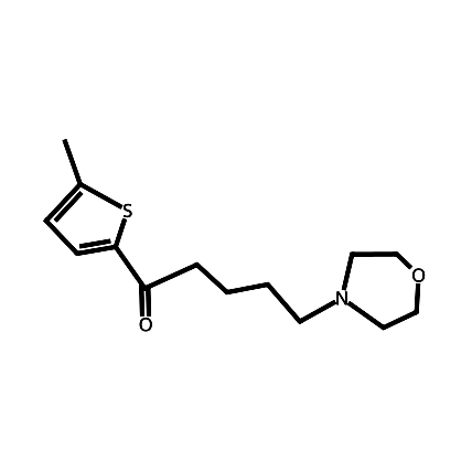 Cc1ccc(C(=O)CCCCN2CCOCC2)s1